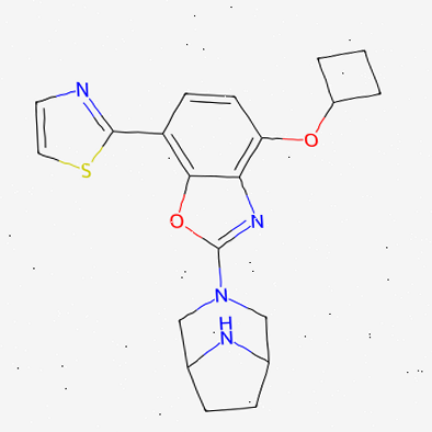 c1csc(-c2ccc(OC3CCC3)c3nc(N4CC5CCC(C4)N5)oc23)n1